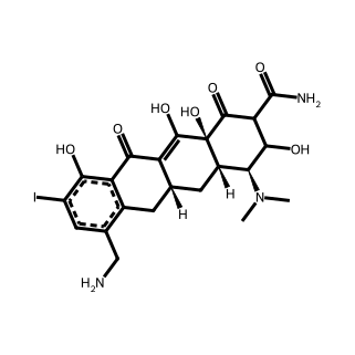 CN(C)[C@@H]1C(O)C(C(N)=O)C(=O)[C@@]2(O)C(O)=C3C(=O)c4c(O)c(I)cc(CN)c4C[C@H]3C[C@@H]12